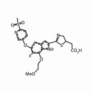 COCCOc1c(F)c(Oc2ccc(S(C)(=O)=O)nc2)cc2cc(C3=NCC(CC(=O)O)S3)[nH]c12